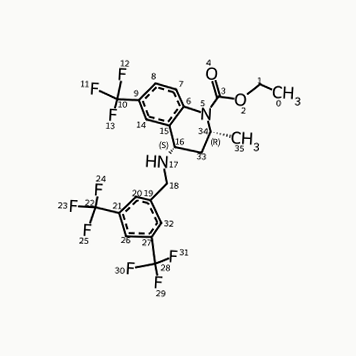 CCOC(=O)N1c2ccc(C(F)(F)F)cc2[C@@H](NCc2cc(C(F)(F)F)cc(C(F)(F)F)c2)C[C@H]1C